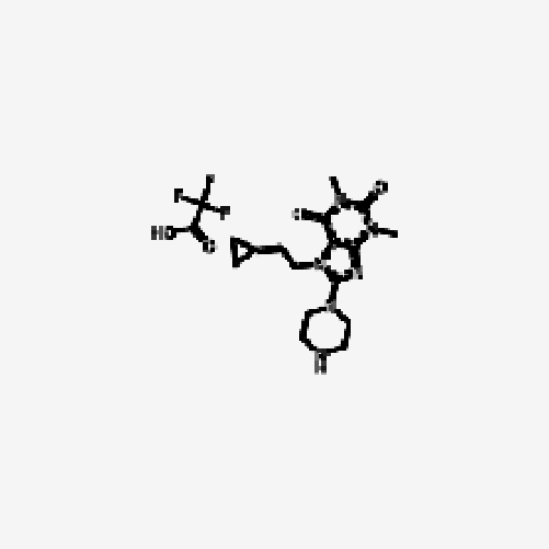 Cn1c(=O)c2c(nc(N3CCNCC3)n2CC=C2CC2)n(C)c1=O.O=C(O)C(F)(F)F